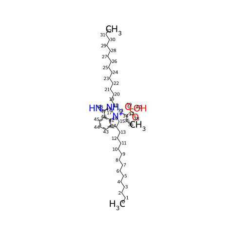 CCCCCCCCCCCCCCCC[N+](CCCCCCCCCCCCCCCC)(CC(CC)S(=O)(=O)O)c1ccccc1C(=N)N